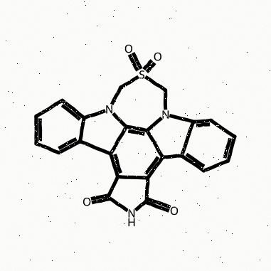 O=C1NC(=O)c2c1c1c3ccccc3n3c1c1c2c2ccccc2n1CS(=O)(=O)C3